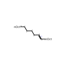 [CH2]CCCCCCCCCCC/C=C/CCCCCCCC